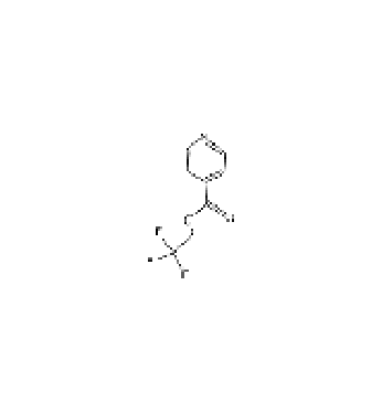 O=C(OCC(F)(F)F)c1ccncc1